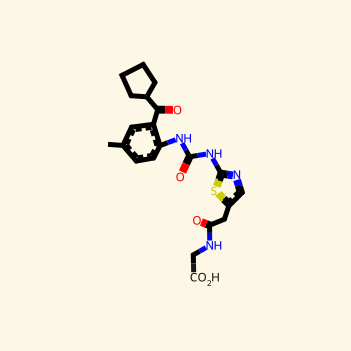 Cc1ccc(NC(=O)Nc2ncc(CC(=O)NCC(=O)O)s2)c(C(=O)C2CCCC2)c1